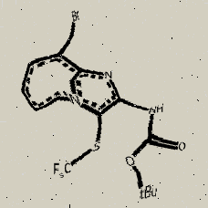 CC(C)(C)OC(=O)Nc1nc2c(Br)cccn2c1SC(F)(F)F